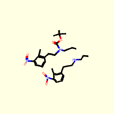 CCCN(CCc1cccc([N+](=O)[O-])c1C)C(=O)OC(C)(C)C.CCCNCCc1cccc([N+](=O)[O-])c1C